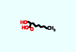 CCCCCCCC(CO)C(=O)O